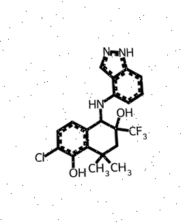 CC1(C)CC(O)(C(F)(F)F)C(Nc2cccc3[nH]ncc23)c2ccc(Cl)c(O)c21